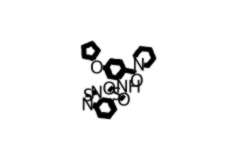 O=C(c1ccc(OC2CCCC2)cc1NS(=O)(=O)c1cccc2nsnc12)N1CCCCC1